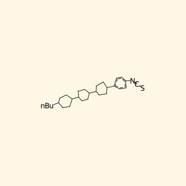 CCCCC1CCC(C2CCC(C3CCC(c4ccc(N=C=S)cc4)CC3)CC2)CC1